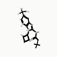 CC(C)(C)CC(=O)Nc1nc2cc(C(F)(F)F)cnc2n1C1CCC1